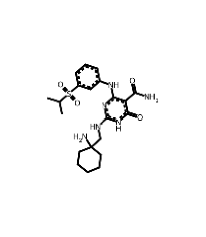 CC(C)S(=O)(=O)c1cccc(Nc2nc(NCC3(N)CCCCC3)[nH]c(=O)c2C(N)=O)c1